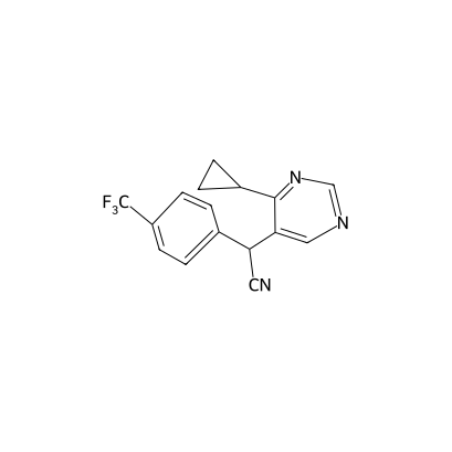 N#CC(c1ccc(C(F)(F)F)cc1)c1cncnc1C1CC1